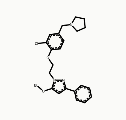 CCOc1cc(-c2ccccc2)nn1CCOc1ccc(CN2CCCC2)cc1Cl